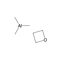 C1COC1.[CH3][Al]([CH3])[CH3]